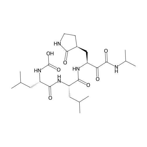 CC(C)C[C@H](NC(=O)O)C(=O)N[C@@H](CC(C)C)C(=O)N[C@@H](C[C@@H]1CCNC1=O)C(=O)C(=O)NC(C)C